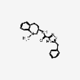 CN1CC(NC(=O)c2nnc(Cc3ccccc3)[nH]2)CCc2ccccc21